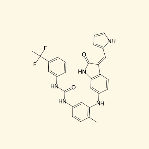 Cc1ccc(NC(=O)Nc2cccc(C(C)(F)F)c2)cc1Nc1ccc2c(c1)NC(=O)C2=Cc1ccc[nH]1